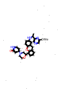 COc1cncc(C(C)Nc2ccc3c(c2)Cc2cccc(C4CN(c5cc[nH]c(=O)c5)CCO4)c2O3)n1